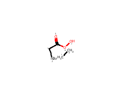 CC.CCCCCC(=O)OO